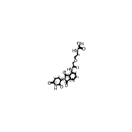 O=C(O)NCCOCC(=O)Nc1cccc2c1C(=O)N(C1CCC(=O)NC1=O)C2=O